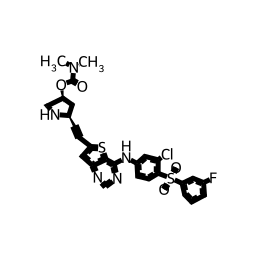 CN(C)C(=O)O[C@@H]1CN[C@H](C#Cc2cc3ncnc(Nc4ccc(S(=O)(=O)c5cccc(F)c5)c(Cl)c4)c3s2)C1